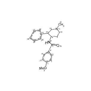 COc1ccc(C(=O)NC2CCN(C)CC2c2ccccc2)cc1